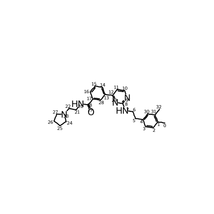 Cc1ccc(CCNc2nccc(-c3cccc(C(=O)NCCN4CCCC4)c3)n2)cc1C